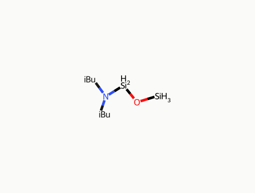 CCC(C)N([SiH2]O[SiH3])C(C)CC